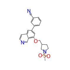 CS(=O)(=O)N1CCC(COc2cc(-c3cccc(C#N)c3)cc3ccncc23)C1